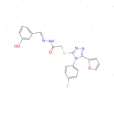 O=C(CSc1nnc(-c2ccco2)n1-c1ccc(F)cc1)NN=Cc1cccc(O)c1